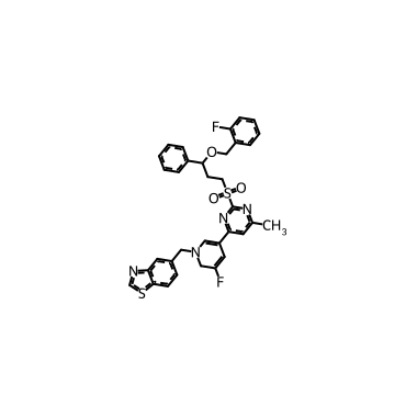 Cc1cc(C2=CN(Cc3ccc4scnc4c3)CC(F)=C2)nc(S(=O)(=O)CCC(OCc2ccccc2F)c2ccccc2)n1